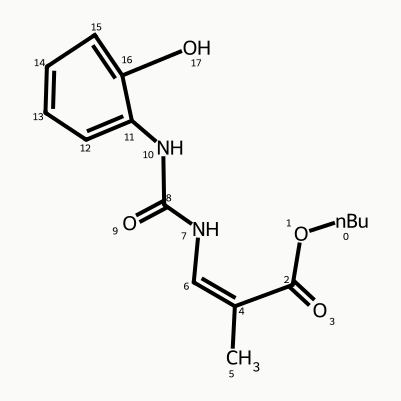 CCCCOC(=O)C(C)=CNC(=O)Nc1ccccc1O